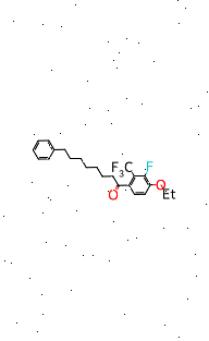 CCOc1ccc(C(=O)CCCCCCCc2ccccc2)c(C(F)(F)F)c1F